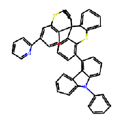 c1ccc(-n2c3ccccc3c3c(-c4cccc5c4Sc4ccccc4C54c5ccccc5Sc5cc(-c6ccccn6)ccc54)cccc32)cc1